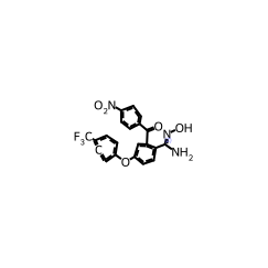 N/C(=N\O)c1ccc(Oc2ccc(C(F)(F)F)cc2)cc1C(=O)c1ccc([N+](=O)[O-])cc1